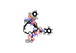 CC(C)(C)OC(=O)N[C@H]1CCCCC/C=C\[C@@H]2C[C@@]2(C(=O)NS(=O)(=O)c2c(F)cccc2F)NC(=O)[C@@H]2C[C@@H](OC(=O)N3Cc4ccccc4C3)CN2C1=O